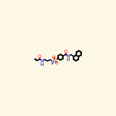 C=CC(=O)NCCCN(C)S(=O)(=O)c1ccc(C(=O)NCc2cccc3ccccc23)cc1